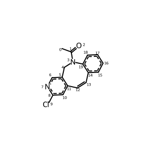 CC(=O)N1Cc2cnc(Cl)cc2C=Cc2ccccc21